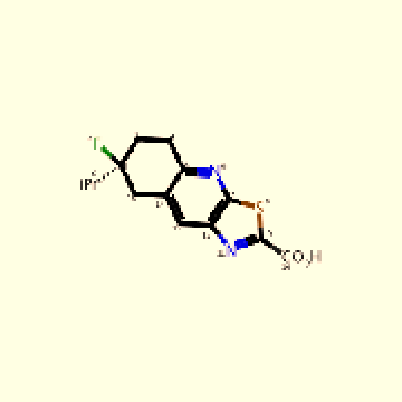 CC(C)[C@]1(F)CCc2nc3sc(C(=O)O)nc3cc2C1